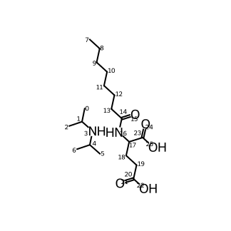 CC(C)NC(C)C.CCCCCCCC(=O)NC(CCC(=O)O)C(=O)O